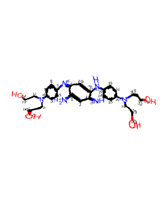 N=C1C=C(N)/C(=N\c2ccc(N(CCO)CCO)cc2)C=C1Nc1ccc(N(CCO)CCO)cc1